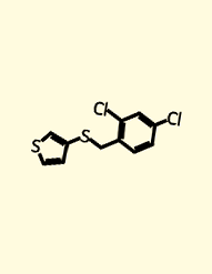 Clc1ccc(CSc2ccsc2)c(Cl)c1